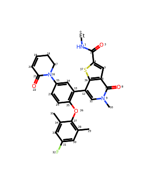 CCNC(=O)c1cc2c(=O)n(C)cc(-c3cc(N4CCC=CC4=O)ccc3Oc3c(C)cc(F)cc3C)c2s1